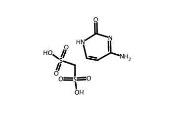 Nc1cc[nH]c(=O)n1.O=S(=O)(O)CS(=O)(=O)O